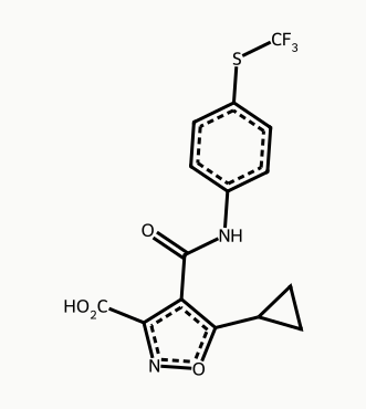 O=C(O)c1noc(C2CC2)c1C(=O)Nc1ccc(SC(F)(F)F)cc1